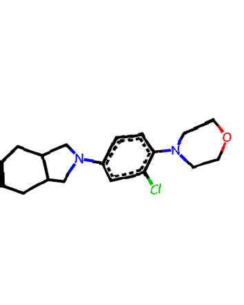 Clc1cc(N2CC3CCCCC3C2)ccc1N1CCOCC1